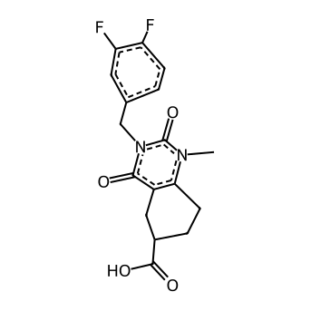 Cn1c2c(c(=O)n(Cc3ccc(F)c(F)c3)c1=O)CC(C(=O)O)CC2